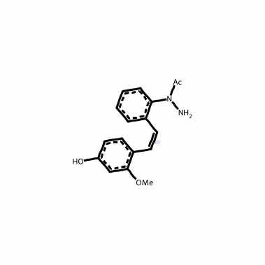 COc1cc(O)ccc1/C=C\c1ccccc1N(N)C(C)=O